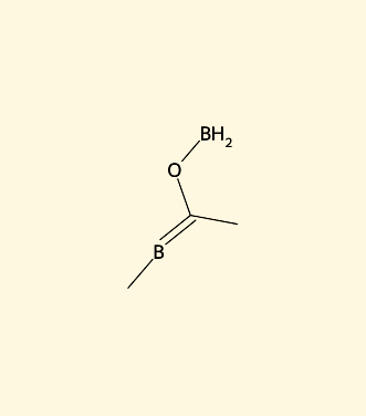 BO/C(C)=B/C